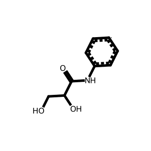 O=C(Nc1cc[c]cc1)C(O)CO